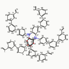 C=Cc1cccc(C2=CCCC(C3=CC=C(N(c4ccc(-c5cccc(-c6cccc(C=C)c6)c5)cc4)c4cc(-c5cccc(-c6cccc(C=C)c6)c5)ccc4N(C4=C=C=C(C5=C=C=CC(c6cccc(C=C)c6)=C5)C=C4)c4ccc(-c5cccc(-c6cccc(C=C)c6)c5)cc4)CC3)=C2)c1